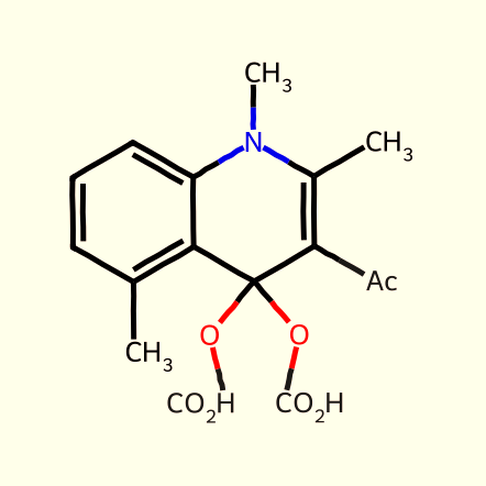 CC(=O)C1=C(C)N(C)c2cccc(C)c2C1(OC(=O)O)OC(=O)O